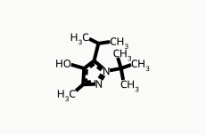 Cc1nn(C(C)(C)C)c(C(C)C)c1O